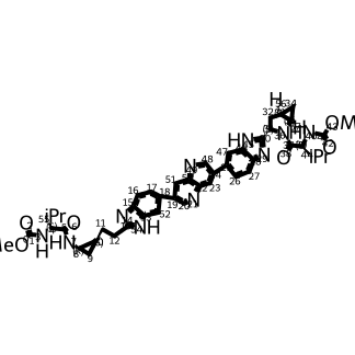 COC(=O)N[C@H](C(=O)N[C@@H]1C[C@@H]1CCc1nc2ccc(-c3cnc4cc(-c5ccc6nc([C@@H]7C[C@H]8C[C@H]8N7C(=O)[C@@H](NC(=O)OC)C(C)C)[nH]c6c5)cnc4c3)cc2[nH]1)C(C)C